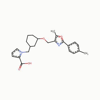 Cc1ccc(-c2nc(COC3CCCC(Cn4cccc4C(=O)O)C3)c(C)o2)cc1